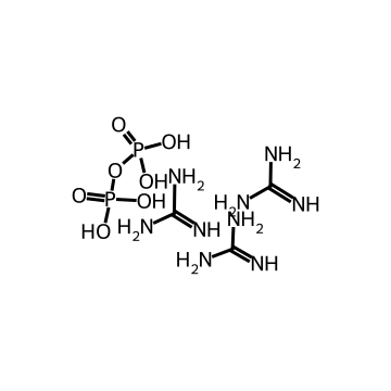 N=C(N)N.N=C(N)N.N=C(N)N.O=P(O)(O)OP(=O)(O)O